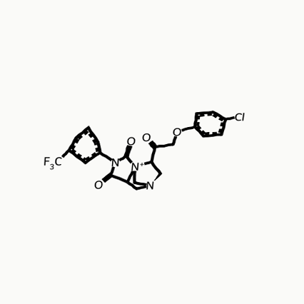 O=C(COc1ccc(Cl)cc1)C1C[N@@]2CC3C(=O)N(c4cccc(C(F)(F)F)c4)C(=O)[N+]13C2